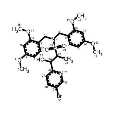 COc1ccc(CN(Cc2ccc(OC)cc2OC)S(=O)(=O)C(C)C(O)c2ccc(Br)cn2)c(OC)c1